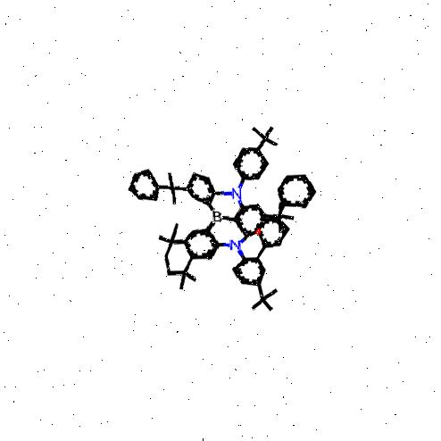 CC(C)(C)c1ccc(N2c3ccc(C(C)(C)c4ccccc4)cc3B3c4cc5c(cc4N(c4ccc(C(C)(C)C)cc4-c4ccc(-c6ccccc6)cc4)c4cc(C(C)(C)C)cc2c43)C(C)(C)CCC5(C)C)cc1